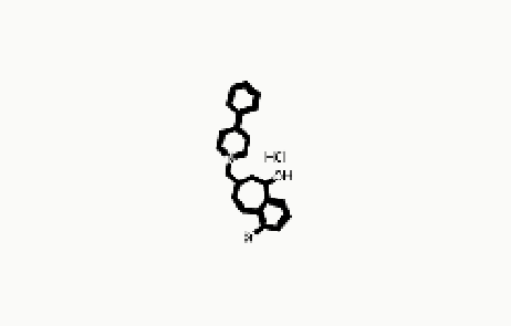 Cl.OC1CC(CN2CCC(c3ccccc3)CC2)CCc2c(Br)cccc21